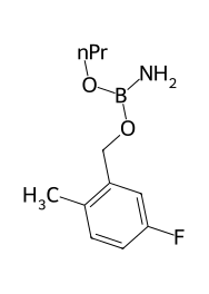 CCCOB(N)OCc1cc(F)ccc1C